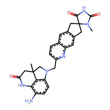 CN1C(=O)NC(=O)C12Cc1cc3ccc(CN4CC5(C)CC(=O)Nc6c(N)ccc4c65)nc3cc1C2